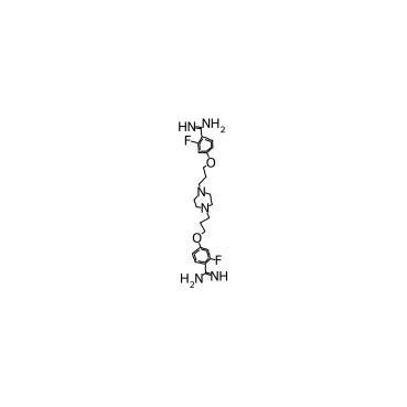 N=C(N)c1ccc(OCCCN2CCN(CCCOc3ccc(C(=N)N)c(F)c3)CC2)cc1F